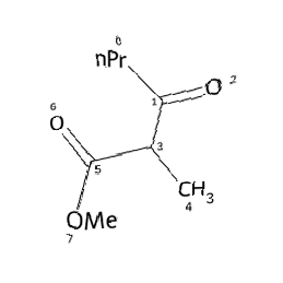 [CH2]CCC(=O)C(C)C(=O)OC